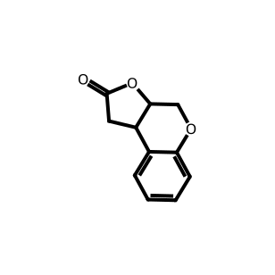 O=C1CC2c3ccccc3OCC2O1